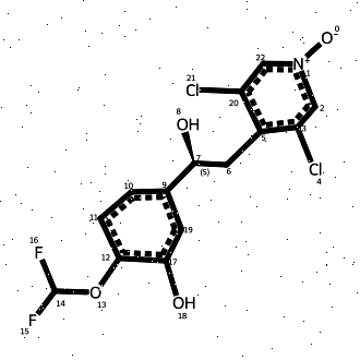 [O-][n+]1cc(Cl)c(C[C@H](O)c2ccc(OC(F)F)c(O)c2)c(Cl)c1